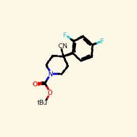 CC(C)(C)OC(=O)N1CCC(C#N)(c2ccc(F)cc2F)CC1